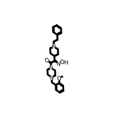 COc1ccccc1CN1CCN(C(=O)C(=NO)C2CCN(CCc3ccccc3)CC2)CC1